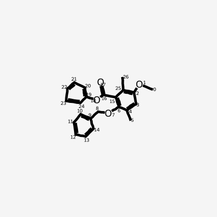 COc1cc(C)c(OCc2ccccc2)c(C(=O)Oc2ccccc2)c1C